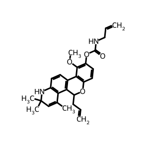 C=CCNC(=O)Oc1ccc2c(c1OC)-c1ccc3c(c1C(CC=C)O2)C(C)=CC(C)(C)N3